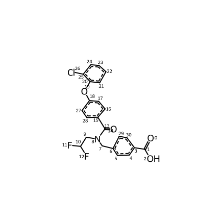 O=C(O)c1ccc(CN(CC(F)F)C(=O)c2ccc(Oc3ccccc3Cl)cc2)cc1